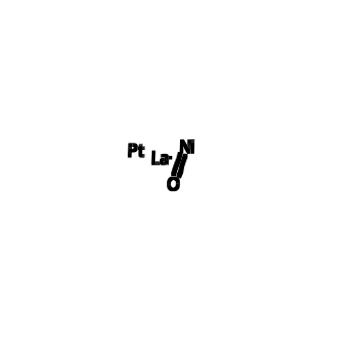 [La].[O]=[Ni].[Pt]